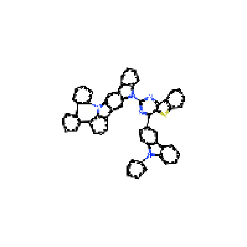 c1ccc(-n2c3ccccc3c3cc(-c4nc(-n5c6ccccc6c6cc7c(cc65)c5cccc6c5n7-c5ccccc5-c5ccccc5-6)nc5c4sc4ccccc45)ccc32)cc1